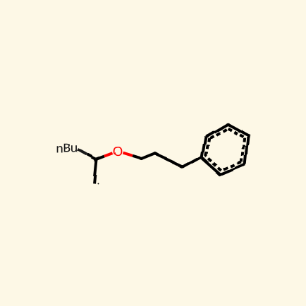 [CH2]C(CCCC)OCCCc1ccccc1